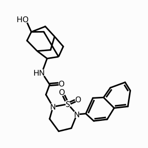 O=C(CN1CCCN(c2ccc3ccccc3c2)S1(=O)=O)NC1C2CC3CC1CC(O)(C3)C2